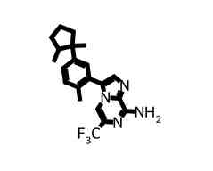 Cc1ccc(C2(C)CCCC2C)cc1-c1cnc2c(N)nc(C(F)(F)F)cn12